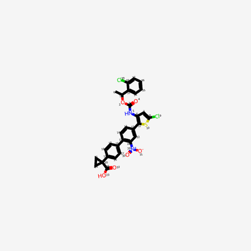 CC(OC(=O)Nc1cc(Cl)sc1-c1ccc(-c2ccc(C3(C(=O)O)CC3)cc2)c([N+](=O)[O-])c1)c1ccccc1Cl